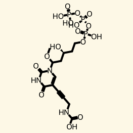 COC(C[C@@H](O)CCOP(=O)(O)OP(=O)(O)OP(=O)(O)O)n1cc(C#CCNC(=O)O)c(=O)[nH]c1=O